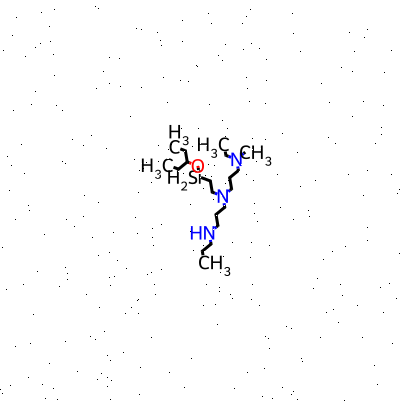 CCCNCCCN(CCCN(C)CC)CC[SiH2]OC(CC)CC